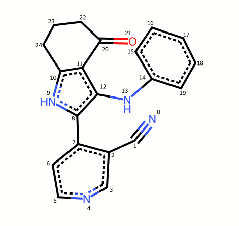 N#Cc1cnccc1-c1[nH]c2c(c1Nc1ccccc1)C(=O)CCC2